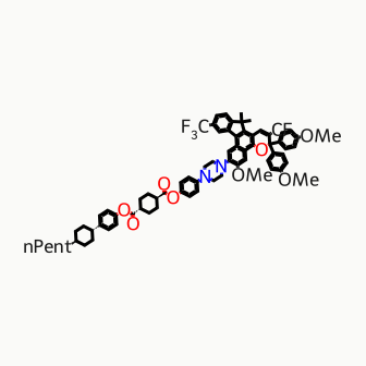 CCCCC[C@H]1CC[C@H](c2ccc(OC(=O)[C@H]3CC[C@H](C(=O)Oc4ccc(N5CCN(c6cc7c8c(c9c(c7cc6OC)OC(c6ccc(OC)cc6)(c6ccc(OC)cc6)C(C(F)(F)F)=C9)C(C)(C)c6ccc(C(F)(F)F)cc6-8)CC5)cc4)CC3)cc2)CC1